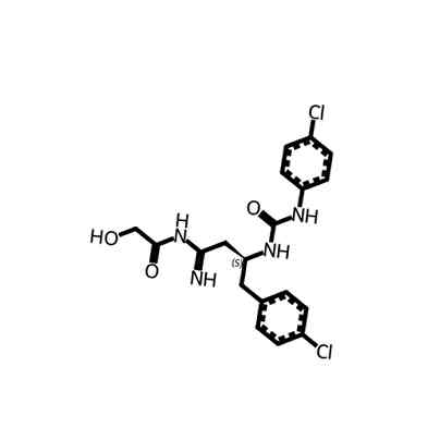 N=C(C[C@H](Cc1ccc(Cl)cc1)NC(=O)Nc1ccc(Cl)cc1)NC(=O)CO